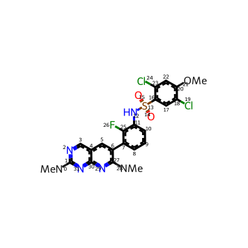 CNc1ncc2cc(-c3cccc(NS(=O)(=O)c4cc(Cl)c(OC)cc4Cl)c3F)c(NC)nc2n1